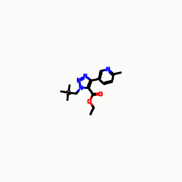 CCOC(=O)c1c(-c2ccc(C)nc2)nnn1C[Si](C)(C)C